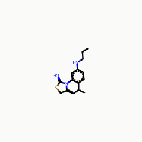 CCCNc1ccc2c(c1)N1C(=N)SCC1=CC2C